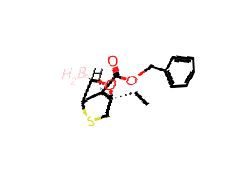 B[C@@H]1O[C@@]2(CC)CSC1[C@H]2C(=O)OCc1ccccc1